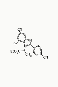 CCOC(=O)C(C)n1c(-c2ccc(C#N)cc2)nc2cc(C#N)cc(CC)c21